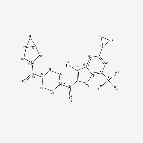 O=C(c1oc2c(C(F)(F)F)cc(C3CC3)cc2c1Cl)N1CCC(C(=O)N2CC3CC3C2)CC1